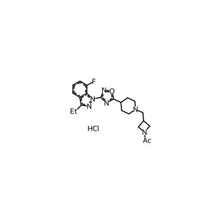 CCc1nn(-c2noc(C3CCN(CC4CN(C(C)=O)C4)CC3)n2)c2c(F)cccc12.Cl